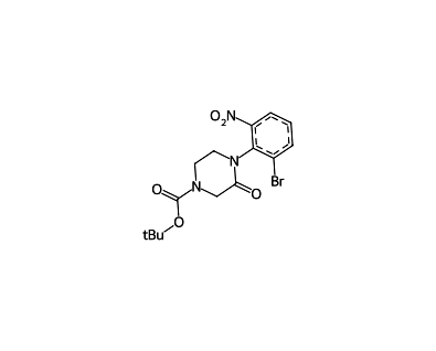 CC(C)(C)OC(=O)N1CCN(c2c(Br)cccc2[N+](=O)[O-])C(=O)C1